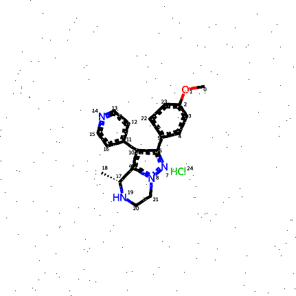 COc1ccc(-c2nn3c(c2-c2ccncc2)[C@@H](C)NCC3)cc1.Cl